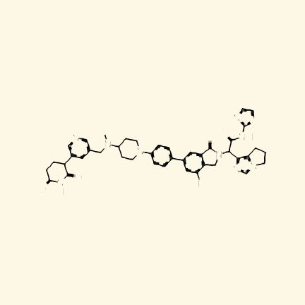 CN(Cc1cncc(C2CCC(=O)NC2=O)c1)C1CCN(c2ccc(-c3cc(F)c4c(c3)C(=O)N(C(C(=O)Nc3nccs3)c3ncn5c3CCC5)C4)cc2)CC1